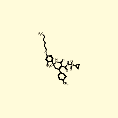 Cc1ccc(C2=C(C(=O)NS(=O)(=O)C3CC3)C(=O)N[C@@](c3ccc(OCCCCCC(F)(F)F)cc3F)(C(F)(F)F)C2)cc1